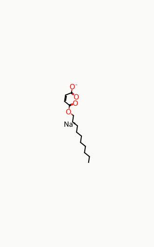 CCCCCCCCCCOC(=O)/C=C\C(=O)[O-].[Na+]